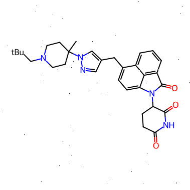 CC(C)(C)CN1CCC(C)(n2cc(Cc3ccc4c5c(cccc35)C(=O)N4C3CCC(=O)NC3=O)cn2)CC1